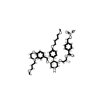 COCCCCOc1ccc([C@@H]2[C@@H](OCc3ccc4c(c3)N(CCCOC)CCO4)CNC[C@H]2OC[C@@H](C)OC(=O)c2ccc(CO[N+](=O)[O-])cc2)cc1